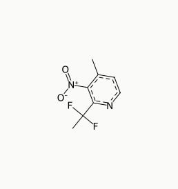 Cc1ccnc(C(C)(F)F)c1[N+](=O)[O-]